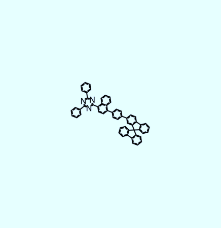 c1ccc(-c2nc(-c3ccccc3)nc(-c3ccc(-c4ccc(-c5ccc6c(c5)C5(c7ccccc7-c7ccccc75)c5ccccc5-6)cc4)c4ccccc34)n2)cc1